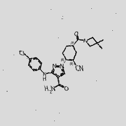 CC1(C)CN(C(=O)[C@@H]2CC[C@@H](n3cc(C(N)=O)c(Nc4ccc(Cl)cc4)n3)[C@H](C#N)C2)C1